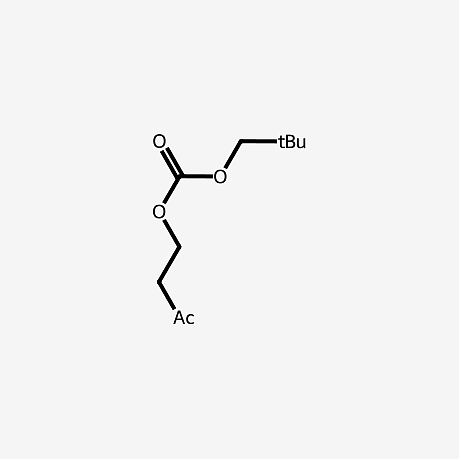 CC(=O)CCOC(=O)OCC(C)(C)C